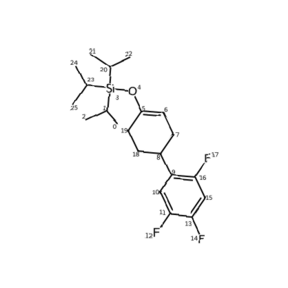 CC(C)[Si](OC1=CCC(c2cc(F)c(F)cc2F)CC1)(C(C)C)C(C)C